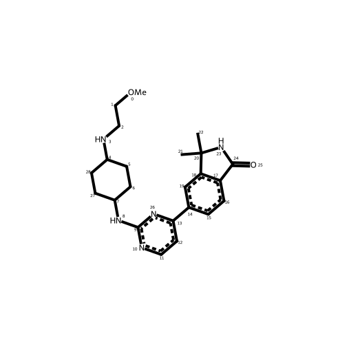 COCCNC1CCC(Nc2nccc(-c3ccc4c(c3)C(C)(C)NC4=O)n2)CC1